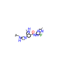 Cc1cn2cc(NC(=O)c3ccc(N4CC[C@@H](NCC5CC5)C4)c4cc(C)[nH]c34)cc(F)c2n1